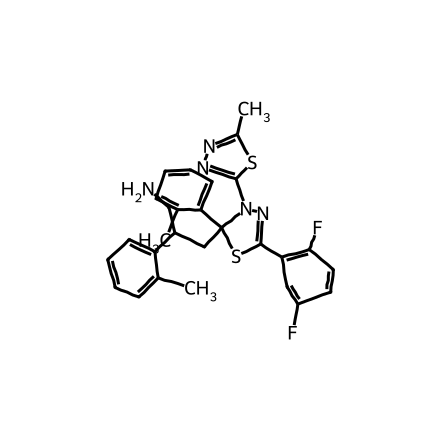 Cc1nnc(N2N=C(c3cc(F)ccc3F)SC2(CC(CN)c2ccccc2C)c2ccccc2C)s1